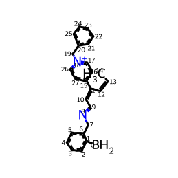 Bc1ccccc1C/N=C/C=C(\C=C/C)c1cc[n+](Cc2ccccc2)cc1